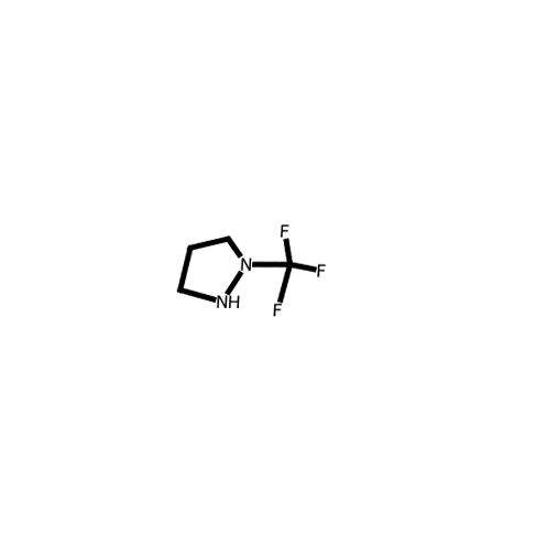 FC(F)(F)N1CCCN1